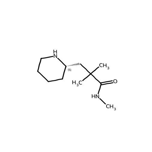 CNC(=O)C(C)(C)C[C@@H]1CCCCN1